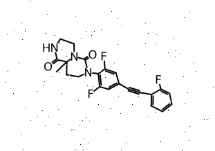 CC12CCN(c3c(F)cc(C#Cc4ccccc4F)cc3F)C(=O)N1CCNC2=O